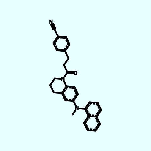 CN(c1ccc2c(c1)CCCN2C(=O)CCc1ccc(C#N)cc1)c1cccc2ccccc12